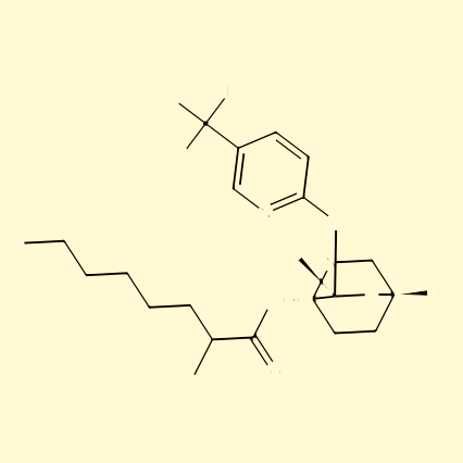 [CH2]C(CCCCCC)C(=O)O[C@]12CC[C@@H](CN1)C[C@H]2Oc1ccc(C(F)(F)F)cn1